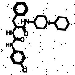 O=C(Nc1ccc(Cl)cc1)NC(Cc1ccccc1)C(=O)NC1CCN(C2CCCCC2)CC1